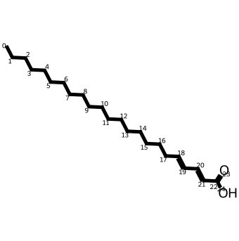 CCCCCCCCCCCCCCCCCC/C=C/C=C/C(=O)O